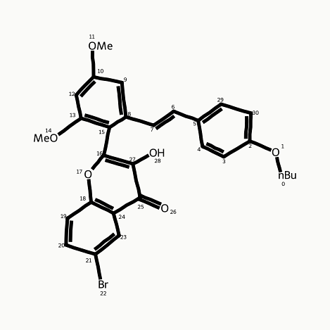 CCCCOc1ccc(C=Cc2cc(OC)cc(OC)c2-c2oc3ccc(Br)cc3c(=O)c2O)cc1